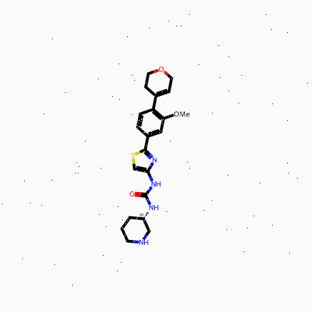 COc1cc(-c2nc(NC(=O)N[C@H]3CCCNC3)cs2)ccc1C1=CCOCC1